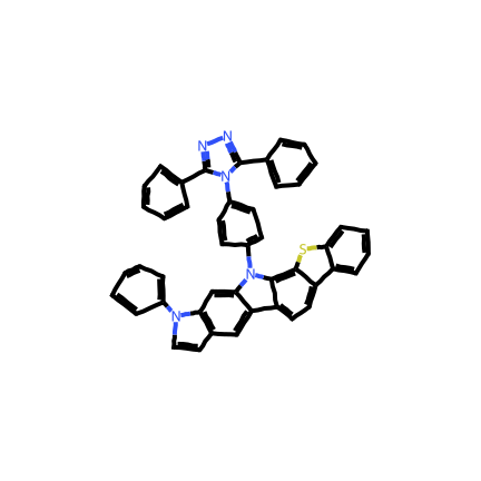 c1ccc(-c2nnc(-c3ccccc3)n2-c2ccc(-n3c4cc5c(ccn5-c5ccccc5)cc4c4ccc5c6ccccc6sc5c43)cc2)cc1